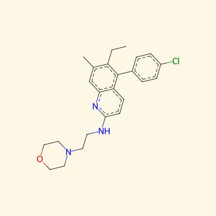 CCc1c(C)cc2nc(NCCN3CCOCC3)ccc2c1-c1ccc(Cl)cc1